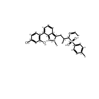 C/C=N\C(C(C)Cc1c2cccc(-c3ccc(Cl)cc3Cl)c2nn1C)S(=O)(=O)c1ccc(C)cc1